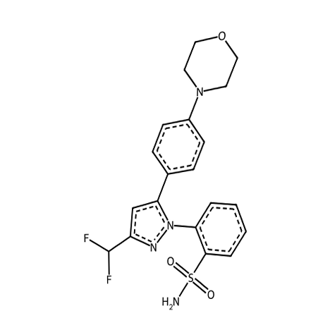 NS(=O)(=O)c1ccccc1-n1nc(C(F)F)cc1-c1ccc(N2CCOCC2)cc1